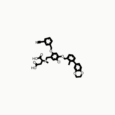 Cc1c(COc2cc(OCc3cccc(C#N)c3)c(CN(C)C(CC(=O)O)C(=O)O)cc2Cl)cccc1-c1ccc2c(c1)OCCO2